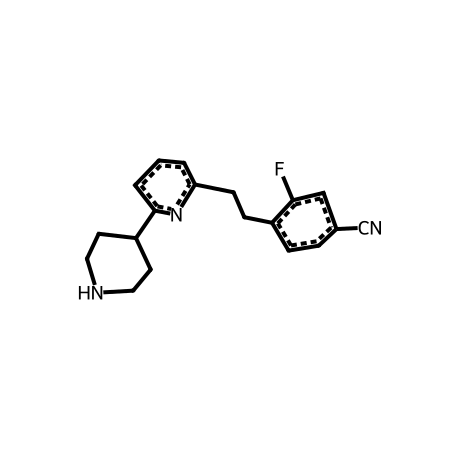 N#Cc1ccc(CCc2cccc(C3CCNCC3)n2)c(F)c1